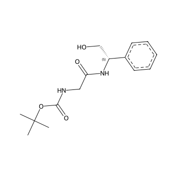 CC(C)(C)OC(=O)NCC(=O)N[C@H](CO)c1ccccc1